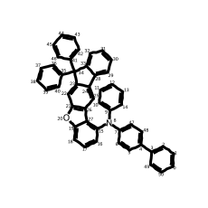 c1ccc(-c2ccc(N(c3ccccc3)c3cccc4oc5cc6c(cc5c34)-c3ccccc3C6(c3ccccc3)c3ccccc3)cc2)cc1